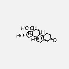 C[C@]12CC[C@H]3[C@@H](CCC4=CC(=O)CC[C@@]43O)[C@@H]1C[C@@H](O)[C@@H]2O